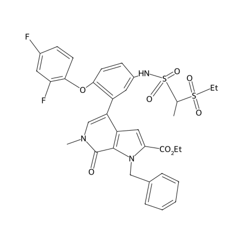 CCOC(=O)c1cc2c(-c3cc(NS(=O)(=O)C(C)S(=O)(=O)CC)ccc3Oc3ccc(F)cc3F)cn(C)c(=O)c2n1Cc1ccccc1